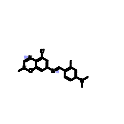 Cc1cc(N(C)C)ccc1/C=N/c1cc(Cl)c(/N=C\N(C)C)c(Cl)c1